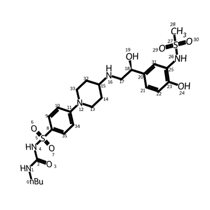 CCCCNC(=O)NS(=O)(=O)c1ccc(N2CCC(NC[C@@H](O)c3ccc(O)c(NS(C)(=O)=O)c3)CC2)cc1